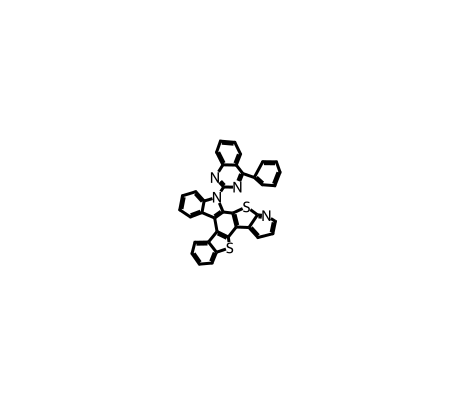 c1ccc(-c2nc(-n3c4ccccc4c4c5c6ccccc6sc5c5c6cccnc6sc5c43)nc3ccccc23)cc1